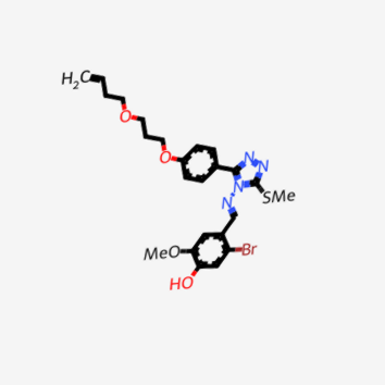 C=CCCOCCCOc1ccc(-c2nnc(SC)n2/N=C/c2cc(OC)c(O)cc2Br)cc1